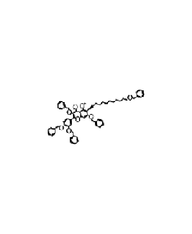 COc1c(C#CCCCCCCCCCCOCc2ccccc2)c(OCc2ccccc2)cc2oc(-c3ccc(OCc4ccccc4)c(OCc4ccccc4)c3)c(OCc3ccccc3)c(=O)c12